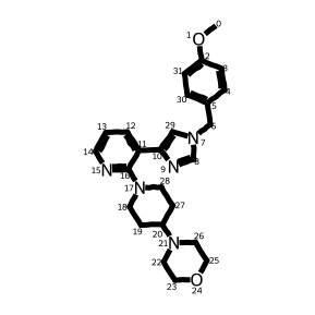 COc1ccc(Cn2cnc(-c3cccnc3N3CCC(N4CCOCC4)CC3)c2)cc1